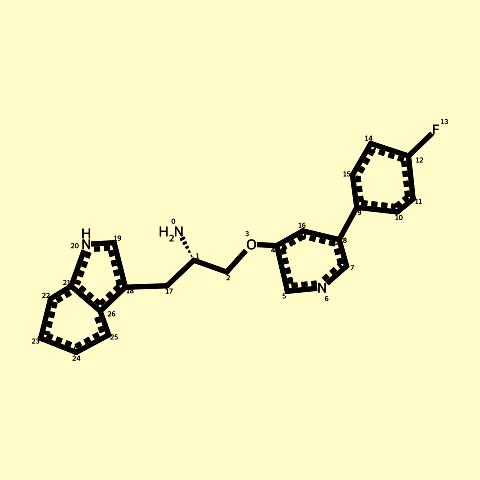 N[C@H](COc1cncc(-c2ccc(F)cc2)c1)Cc1c[nH]c2ccccc12